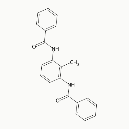 Cc1c(NC(=O)c2ccccc2)cccc1NC(=O)c1ccccc1